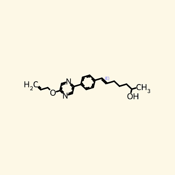 C=CCOc1cnc(-c2ccc(/C=C/CCCC(C)O)cc2)cn1